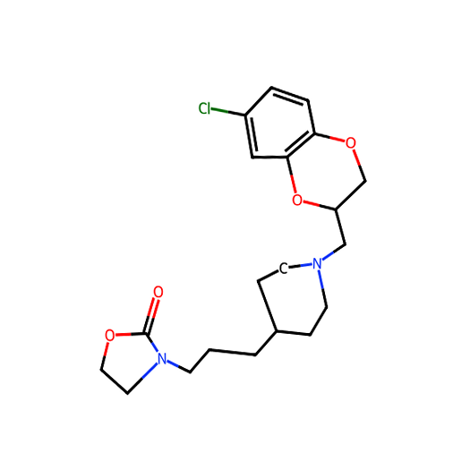 O=C1OCCN1CCCC1CCN(CC2COc3ccc(Cl)cc3O2)CC1